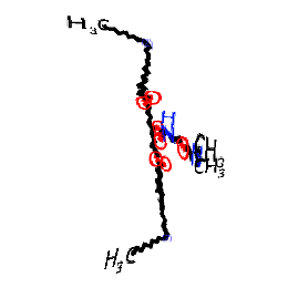 CCCCCCCC/C=C\CCCCCCCCCCCC(=O)OCCCCC(CCCCOC(=O)CCCCCCCCCCC/C=C\CCCCCCCC)OC(=O)NCCOCCN(C)C